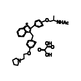 CC(=O)NC(C)COc1ccc(-c2sc3ccccc3c2Cc2ccc(OCCN3CCCC3)cc2)cc1.O=C(O)C(=O)O